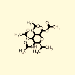 CC(=O)NC1C(OC(C)=O)C(OC(C)=O)C(C(=O)OC(C)=O)O[C@H]1C(C)C